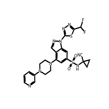 N#CC1(NS(=O)(=O)c2cc(N3CCN(c4cccnc4)CC3)c3cnn(-c4nnc(C(F)F)s4)c3c2)CC1